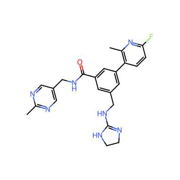 Cc1ncc(CNC(=O)c2cc(CNC3=NCCN3)cc(-c3ccc(F)nc3C)c2)cn1